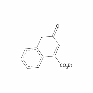 CCOC(=O)C1=CC(=O)Cc2ccccc21